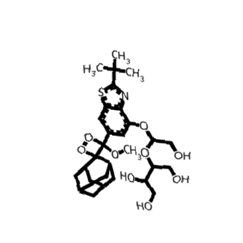 COC1(c2cc(OC(CO)OC(CO)C(O)CO)c3nc(C(C)(C)C)sc3c2)OOC12C1CC3CC(C1)CC2C3